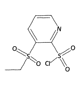 CCS(=O)(=O)c1cccnc1S(=O)(=O)Cl